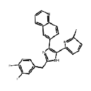 Cc1cccc(-c2[nH]c(Cc3ccc(F)c(F)c3)nc2-c2ccc3ncccc3c2)n1